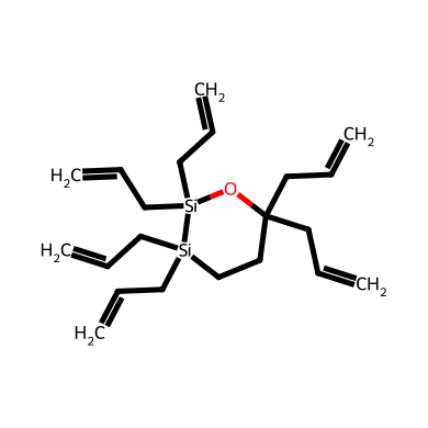 C=CCC1(CC=C)CC[Si](CC=C)(CC=C)[Si](CC=C)(CC=C)O1